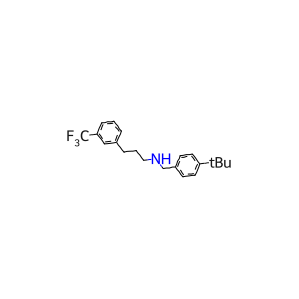 CC(C)(C)c1ccc(CNCCCc2cccc(C(F)(F)F)c2)cc1